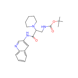 CC(C)(C)OC(=O)NCC(C(=O)Nc1cnc2ccccc2c1)N1CCCCC1